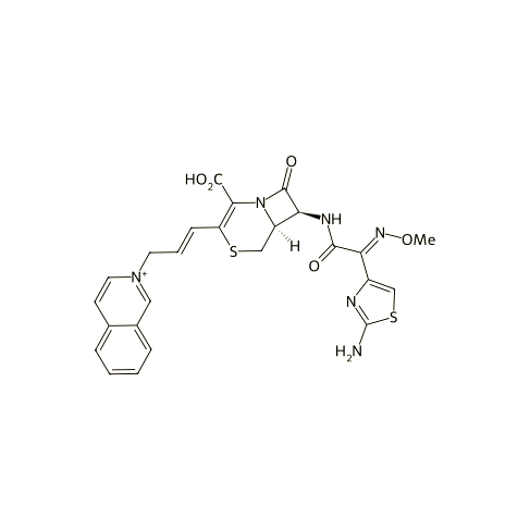 CON=C(C(=O)N[C@@H]1C(=O)N2C(C(=O)O)=C(/C=C/C[n+]3ccc4ccccc4c3)SC[C@H]12)c1csc(N)n1